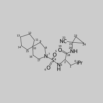 CC(C)CC(NS(=O)(=O)N1CCC2(CCCCC2)CC1)C(=O)NC1(C#N)CC1